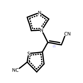 N#C/C=C(/c1ccc(C#N)s1)n1ccnc1